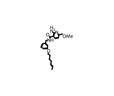 CC=CCCCCOc1cccc(CNC(=O)c2ccc(COC)nc2N)c1